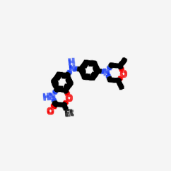 CCC1Oc2cc(Nc3ccc(N4CC(C)OC(C)C4)cc3)ccc2NC1=O